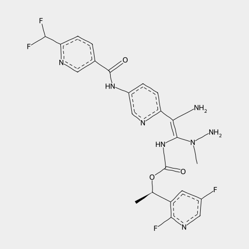 C[C@@H](OC(=O)N/C(=C(/N)c1ccc(NC(=O)c2ccc(C(F)F)nc2)cn1)N(C)N)c1cc(F)cnc1F